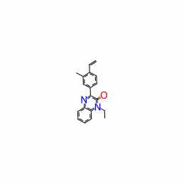 C=Cc1ccc(-c2nc3ccccc3n(CC)c2=O)cc1C